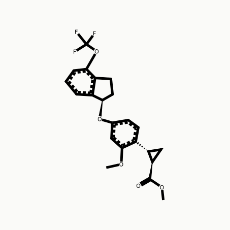 COC(=O)[C@@H]1C[C@H]1c1ccc(O[C@@H]2CCc3c(OC(F)(F)F)cccc32)cc1OC